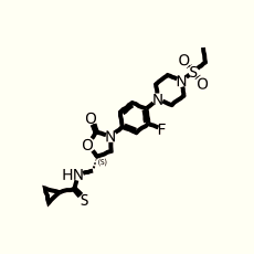 CCS(=O)(=O)N1CCN(c2ccc(N3C[C@H](CNC(=S)C4CC4)OC3=O)cc2F)CC1